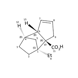 CC[C@]12CC[C@H](C1)[C@@H]1C=CC[C@@]12C(=O)O